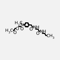 CCCCNC(=O)CCNC(=O)Cc1ccc(N(C)C(=O)COCC(C)=O)cc1